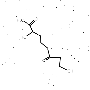 CC(=O)C(O)CCCC(=O)CCO